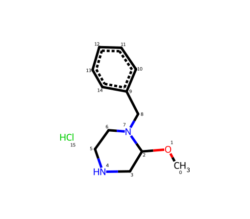 COC1CNCCN1Cc1ccccc1.Cl